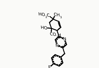 CC1(C(=O)O)C=CC(c2cnc(Cc3ccc(F)cc3)cn2)C(O)(C(=O)O)C1